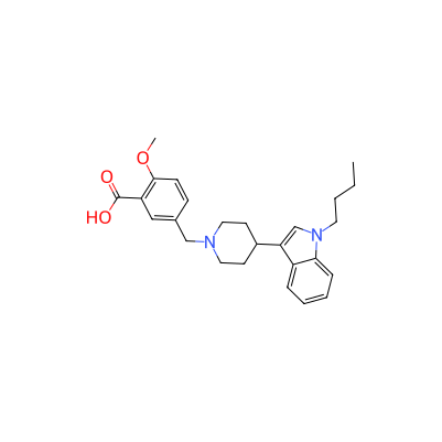 CCCCn1cc(C2CCN(Cc3ccc(OC)c(C(=O)O)c3)CC2)c2ccccc21